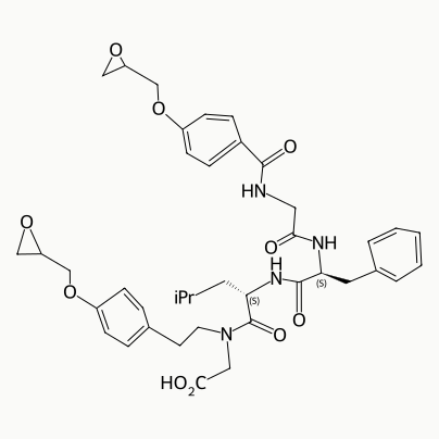 CC(C)C[C@H](NC(=O)[C@H](Cc1ccccc1)NC(=O)CNC(=O)c1ccc(OCC2CO2)cc1)C(=O)N(CCc1ccc(OCC2CO2)cc1)CC(=O)O